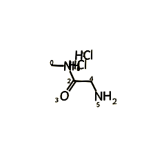 CNC(=O)CN.Cl.Cl